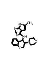 Cc1cc2c(NC3c4ccccc4OCC3N3CCOCC3)ncnc2[nH]1